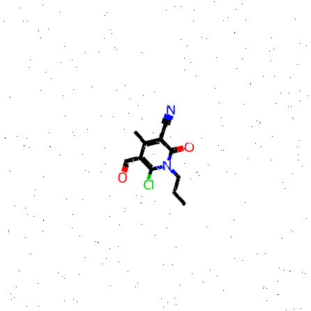 CCCn1c(Cl)c(C=O)c(C)c(C#N)c1=O